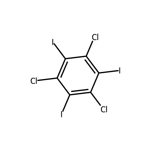 Clc1c(I)c(Cl)c(I)c(Cl)c1I